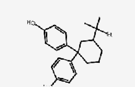 CCC(C)(C)C1CCCC(c2ccc(O)cc2)(c2ccc(O)cc2)C1